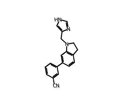 N#Cc1cccc(-c2ccc3c(c2)N(Cc2c[nH]cn2)CC3)c1